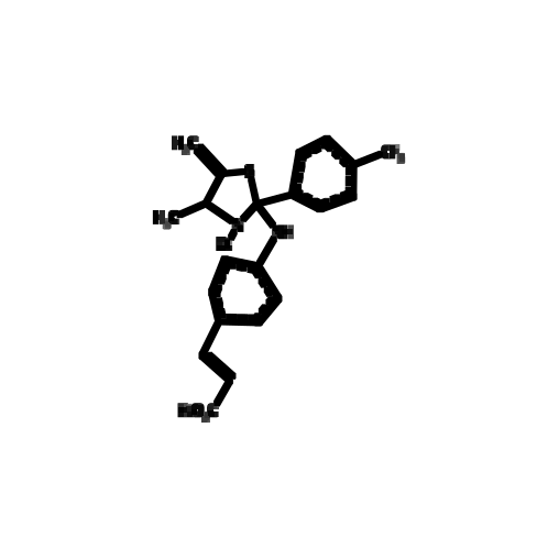 C=C1SC(Nc2ccc(/C=C/C(=O)OCC)cc2)(c2ccc(C(F)(F)F)cc2)N(CC)C1C